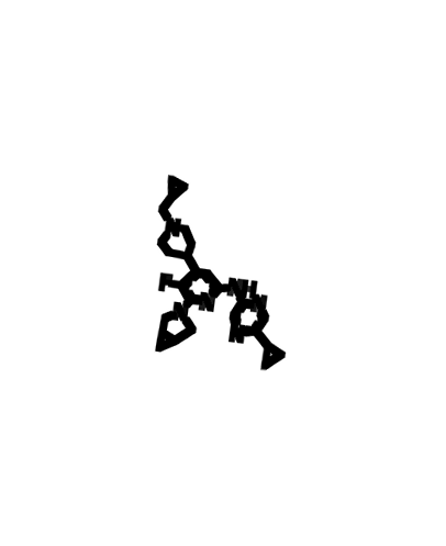 Fc1c(C2CCN(CC3CC3)CC2)cc(Nc2cnc(C3CC3)cn2)nc1N1CC2CC2C1